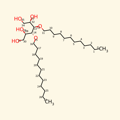 CCCCCCCCCCCCO[C@@H]([C@H](OCCCCCCCCCCCC)[C@H](O)CO)[C@H](O)CO